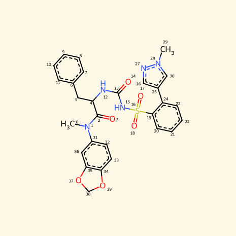 CN(C(=O)C(Cc1ccccc1)NC(=O)NS(=O)(=O)c1ccccc1-c1cnn(C)c1)c1ccc2c(c1)OCO2